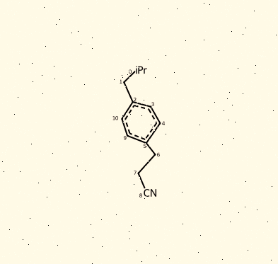 CC(C)Cc1ccc(CCC#N)cc1